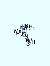 C=C(OC)C(CC(=O)N1CCC(N2Cc3ccccc3NC2=O)CC1)Cc1cc(C)cc(/C=N\N)c1